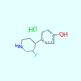 Cl.Oc1ccc(C2CCNCC2F)cc1